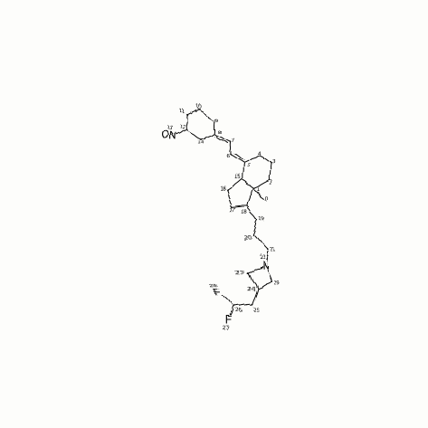 CC12CCC/C(=C\C=C3\CCCC(N=O)C3)C1CCC2CCCN1CC(CC(F)F)C1